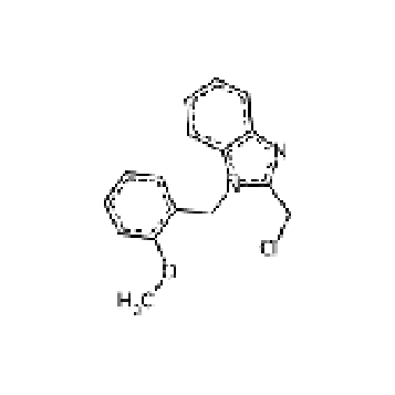 COc1ccccc1Cn1c(CCl)nc2ccccc21